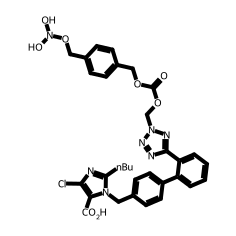 CCCCc1nc(Cl)c(C(=O)O)n1Cc1ccc(-c2ccccc2-c2nnn(COC(=O)OCc3ccc(CON(O)O)cc3)n2)cc1